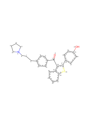 O=C(c1ccc(CCCN2CCCC2)cc1)c1c(-c2ccc(O)cc2)sc2ccccc12